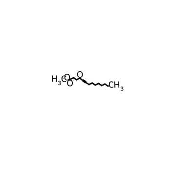 CCCCCCCCC#CC(=O)CCC(=O)OC